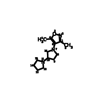 Cc1noc(C)c1N1CCC(N2CCCC2)C1